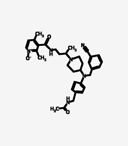 CC(=O)NCc1ccc(N(Cc2cccc(C#N)c2)C2CCN(C(C)CCNC(=O)c3c(C)cc[n+]([O-])c3C)CC2)cc1